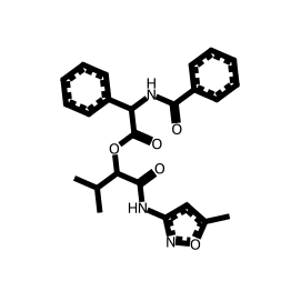 Cc1cc(NC(=O)C(OC(=O)C(NC(=O)c2ccccc2)c2ccccc2)C(C)C)no1